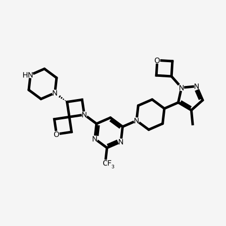 Cc1cnn(C2COC2)c1C1CCN(c2cc(N3C[C@@H](N4CCNCC4)C34COC4)nc(C(F)(F)F)n2)CC1